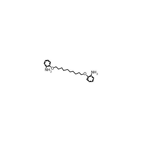 Nc1ccccc1OCCCCCCCCCCOc1ccccc1N